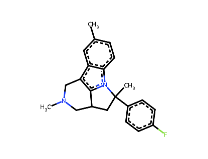 Cc1ccc2c(c1)c1c3n2C(C)(c2ccc(F)cc2)CC3CN(C)C1